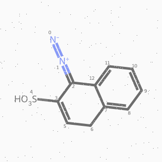 [N-]=[N+]=C1C(S(=O)(=O)O)=CCc2ccccc21